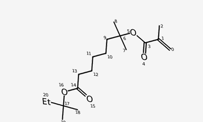 C=C(C)C(=O)OC(C)(C)CCCCCC(=O)OC(C)(C)CC